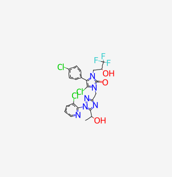 CC(O)c1nc(Cn2c(Cl)c(-c3ccc(Cl)cc3)n(CC(O)C(F)(F)F)c2=O)nn1-c1ncccc1Cl